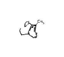 Cc1cccc(CI)c1Cl